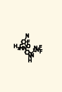 Cc1ccc(C#N)c(F)c1C(=O)Nc1ccc2[nH]nc(-c3cnn(C(F)F)c3)c2c1